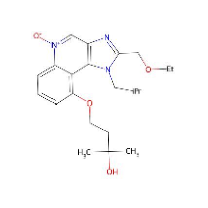 CCOCc1nc2c[n+]([O-])c3cccc(OCCC(C)(C)O)c3c2n1CC(C)C